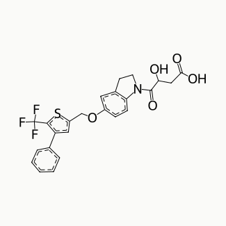 O=C(O)CC(O)C(=O)N1CCc2cc(OCc3cc(-c4ccccc4)c(C(F)(F)F)s3)ccc21